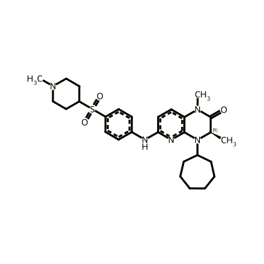 C[C@@H]1C(=O)N(C)c2ccc(Nc3ccc(S(=O)(=O)C4CCN(C)CC4)cc3)nc2N1C1CCCCCC1